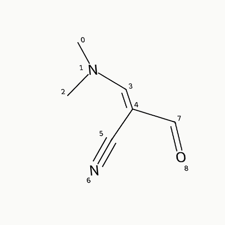 CN(C)/C=C(\C#N)C=O